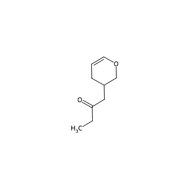 CCC(=O)CC1CC=COC1